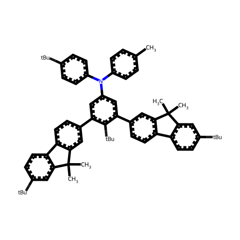 Cc1ccc(N(c2ccc(C(C)(C)C)cc2)c2cc(-c3ccc4c(c3)C(C)(C)c3cc(C(C)(C)C)ccc3-4)c(C(C)(C)C)c(-c3ccc4c(c3)C(C)(C)c3cc(C(C)(C)C)ccc3-4)c2)cc1